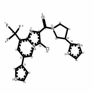 O=C(c1nc2c(C(F)(F)F)cc(-c3ccoc3)cn2c1Cl)N1CCC(c2nccs2)C1